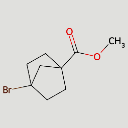 COC(=O)C12CCC(Br)(CC1)C2